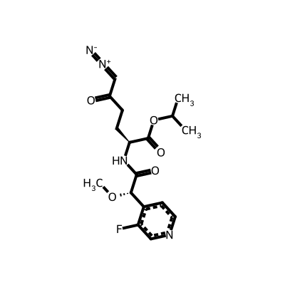 CO[C@H](C(=O)N[C@@H](CCC(=O)C=[N+]=[N-])C(=O)OC(C)C)c1ccncc1F